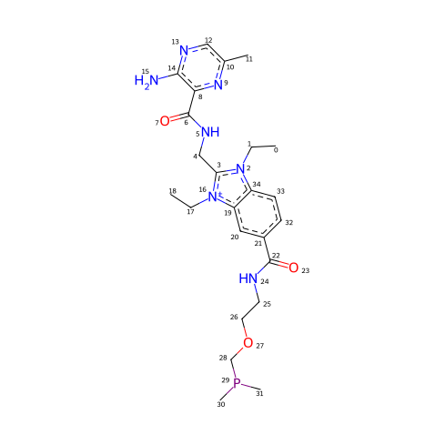 CCn1c(CNC(=O)c2nc(C)cnc2N)[n+](CC)c2cc(C(=O)NCCOCP(C)C)ccc21